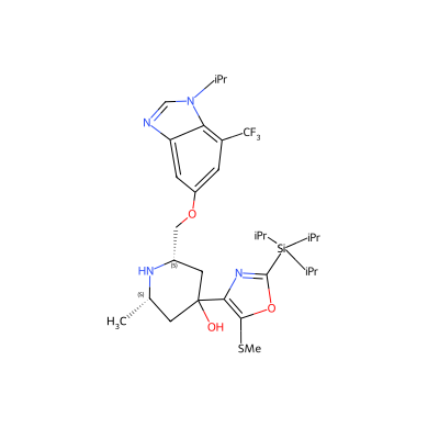 CSc1oc([Si](C(C)C)(C(C)C)C(C)C)nc1C1(O)C[C@@H](COc2cc(C(F)(F)F)c3c(c2)ncn3C(C)C)N[C@@H](C)C1